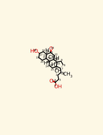 C[C@H](CCC(=O)O)[C@H]1CC[C@H]2[C@@H]3CC(=O)[C@H]4C[C@H](O)CC[C@]4(C)[C@H]3CC[C@]12C